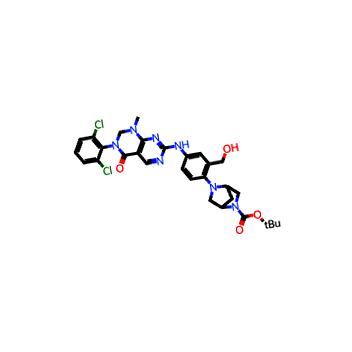 CN1CN(c2c(Cl)cccc2Cl)C(=O)c2cnc(Nc3ccc(N4CC5CC4CN5C(=O)OC(C)(C)C)c(CO)c3)nc21